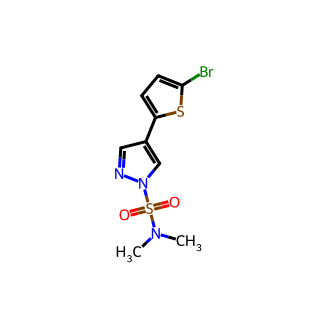 CN(C)S(=O)(=O)n1cc(-c2ccc(Br)s2)cn1